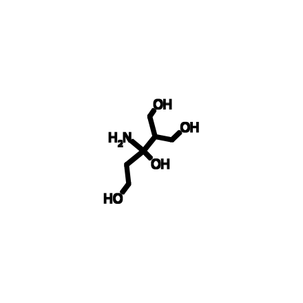 NC(O)(CCO)C(CO)CO